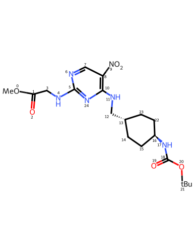 COC(=O)CNc1ncc([N+](=O)[O-])c(NC[C@H]2CC[C@H](NC(=O)OC(C)(C)C)CC2)n1